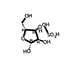 O=S(=O)(O)O.OC[C@H]1O[C@@H](O)[C@H](O)[C@@H]1O